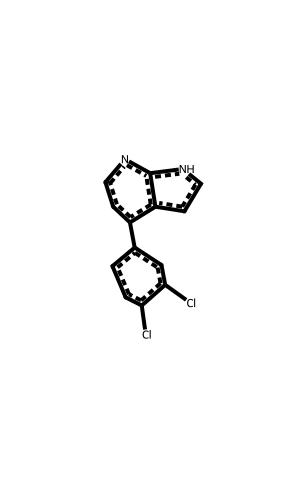 Clc1ccc(-c2ccnc3[nH]ccc23)cc1Cl